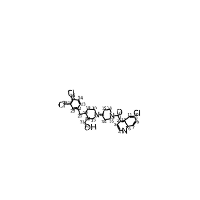 O=C(c1ccnc2ccc(Cl)cc12)N1CCC(N2CCC(Cc3ccc(Cl)c(Cl)c3)[C@H](CO)C2)CC1